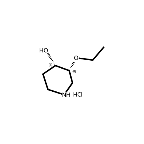 CCO[C@@H]1CNCC[C@@H]1O.Cl